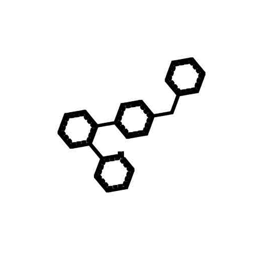 c1ccc(Cc2ccc(-c3ccccc3-c3ccccn3)cc2)cc1